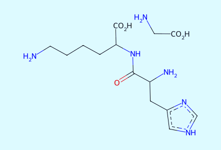 NCC(=O)O.NCCCCC(NC(=O)C(N)Cc1c[nH]cn1)C(=O)O